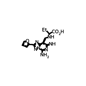 CCC(N/C=c1\c(=N)nc(N)n2nc(-c3ccco3)nc12)C(=O)O